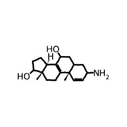 C[C@]12C=CC(N)CC1CC(O)C1=C2CC[C@]2(C)C(O)CC[C@@H]12